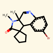 CN1C(=O)C2(CCCC2)C2c3cc(Br)ccc3N=CC21C